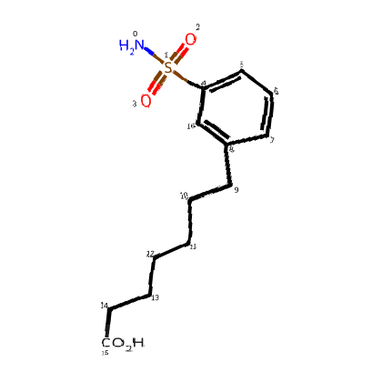 NS(=O)(=O)c1cccc(CCCCCCC(=O)O)c1